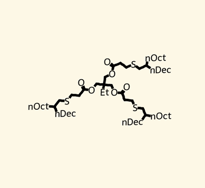 CCCCCCCCCCC(CCCCCCCC)CSCCC(=O)OCC(CC)(COC(=O)CCSCC(CCCCCCCC)CCCCCCCCCC)COC(=O)CCSCC(CCCCCCCC)CCCCCCCCCC